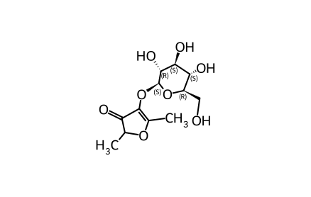 CC1=C(O[C@@H]2O[C@H](CO)[C@@H](O)[C@H](O)[C@H]2O)C(=O)C(C)O1